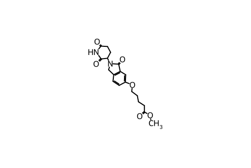 COC(=O)CCCCOc1ccc2c(c1)C(=O)N(C1CCC(=O)NC1=O)C2